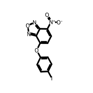 O=[N+]([O-])c1ccc(Oc2ccc(I)cc2)c2nonc12